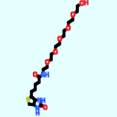 O=C(CCCCC1SCC2NC(=O)NC21)NCCOCCOCCOCCOCCOCCO